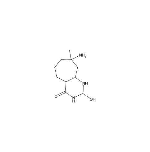 CC1(N)CCCC2C(=O)NC(O)NC2C1